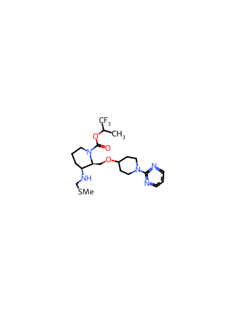 CSCN[C@H]1CCCN(C(=O)OC(C)C(F)(F)F)[C@H]1COC1CCN(c2ncccn2)CC1